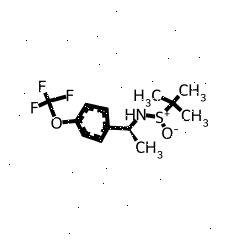 C[C@H](N[S+]([O-])C(C)(C)C)c1ccc(OC(F)(F)F)cc1